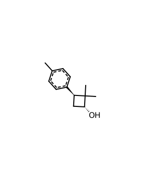 Cc1ccc([C@@H]2C[C@@H](O)C2(C)C)cc1